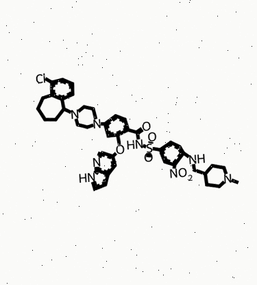 CN1CCC(CNc2ccc(S(=O)(=O)NC(=O)c3ccc(N4CCN(C5CCCCc6c(Cl)cccc65)CC4)cc3Oc3cnc4[nH]ccc4c3)cc2[N+](=O)[O-])CC1